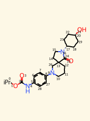 CC(C)OC(=O)Nc1ccc(N2CCCC3(CCN([C@H]4CC[C@H](O)CC4)C3=O)C2)cc1